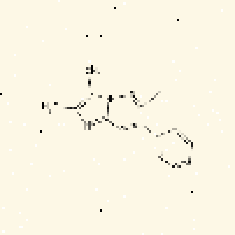 Cc1nc2cc(-c3ccccc3)c(I)nn2c1C